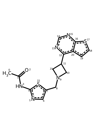 CC(=O)Nc1ncc(CN2CC(c3ncnc4sccc34)C2)s1